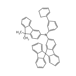 CC1(C)c2ccccc2-c2cc(N(c3cccc(C4=CC=CCC4)c3)c3ccc4c(c3)C3(c5ccccc5-c5ccccc53)c3ccccc3-4)ccc21